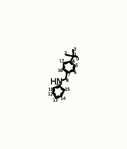 CC(C)(C)c1ccc(CNc2cc[c]cc2)cc1